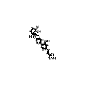 CNC(=O)/C=C/c1ccc(-c2ccc(O[C@H]3C[C@H]4CC[C@@H]3CN4)nn2)c(O)c1